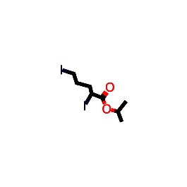 CC(C)OC(=O)C(I)CCCI